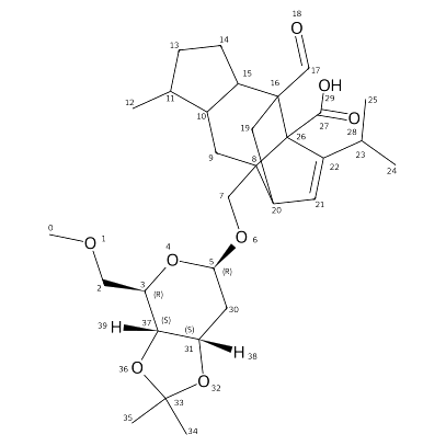 COC[C@H]1O[C@@H](OCC23CC4C(C)CCC4C4(C=O)CC2C=C(C(C)C)C43C(=O)O)C[C@@H]2OC(C)(C)O[C@@H]21